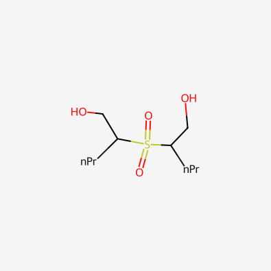 CCCC(CO)S(=O)(=O)C(CO)CCC